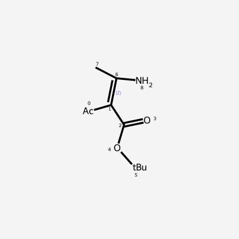 CC(=O)/C(C(=O)OC(C)(C)C)=C(\C)N